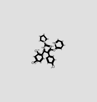 Clc1ccc(-c2c(Oc3ccccn3)nc(N3CCCC3)nc2-c2ccc(Cl)cc2Cl)cc1